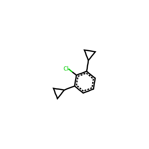 Clc1c(C2CC2)cccc1C1CC1